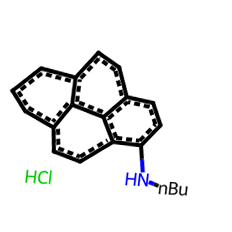 CCCCNc1ccc2ccc3cccc4ccc1c2c34.Cl